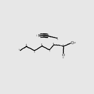 CC#N.CCCCCCC(Cl)Cl